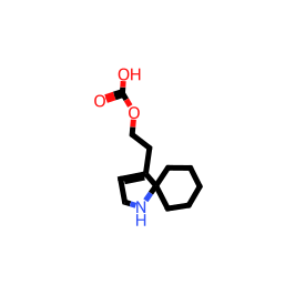 O=C(O)OCCC1=CCNC12CCCCC2